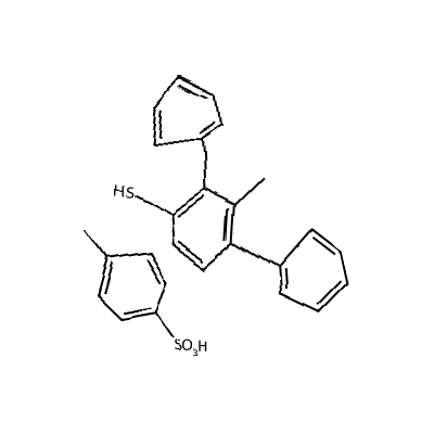 Cc1c(-c2ccccc2)ccc(S)c1-c1ccccc1.Cc1ccc(S(=O)(=O)O)cc1